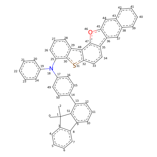 CC1(C)c2ccccc2-c2cccc(-c3ccc(N(c4ccccc4)c4cccc5c4sc4ccc6c7cc8ccccc8cc7oc6c45)cc3)c21